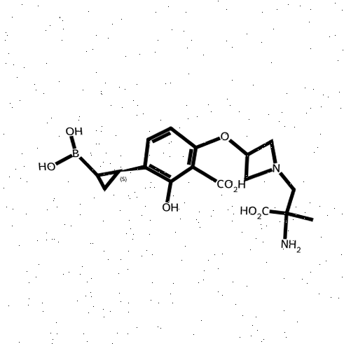 CC(N)(CN1CC(Oc2ccc([C@H]3CC3B(O)O)c(O)c2C(=O)O)C1)C(=O)O